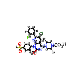 CC(C)c1cc(S(C)(=O)=O)ccc1-n1c(=O)nc(N2C[C@@H](C)N(C(=O)O)C[C@@H]2C)c2cc(Cl)c(-c3ccccc3F)nc21